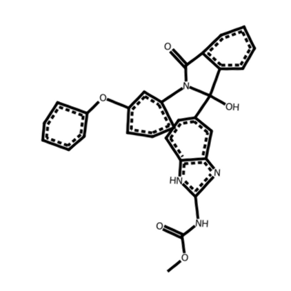 COC(=O)Nc1nc2cc(C3(O)c4ccccc4C(=O)N3c3cccc(Oc4ccccc4)c3)ccc2[nH]1